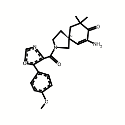 COc1ccc(-c2ocnc2C(=O)N2CC[C@@]3(C=C(N)C(=O)C(C)(C)C3)C2)cc1